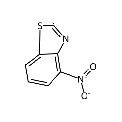 O=[N+]([O-])c1cccc2s[c]nc12